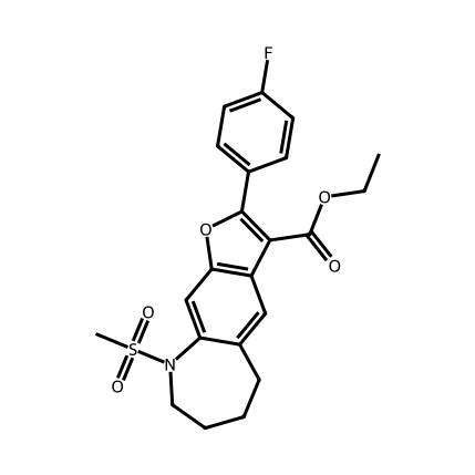 CCOC(=O)c1c(-c2ccc(F)cc2)oc2cc3c(cc12)CCCCN3S(C)(=O)=O